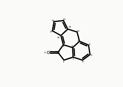 O=C1Cc2cccc3c2C1=C1C=CC=C1C3